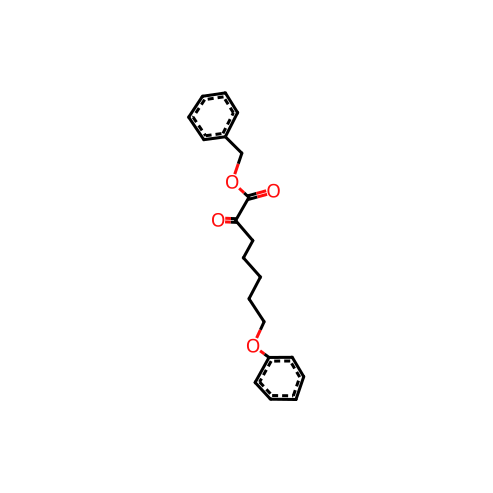 O=C(CCCCCOc1ccccc1)C(=O)OCc1ccccc1